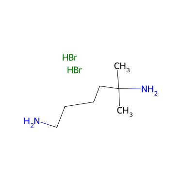 Br.Br.CC(C)(N)CCCCN